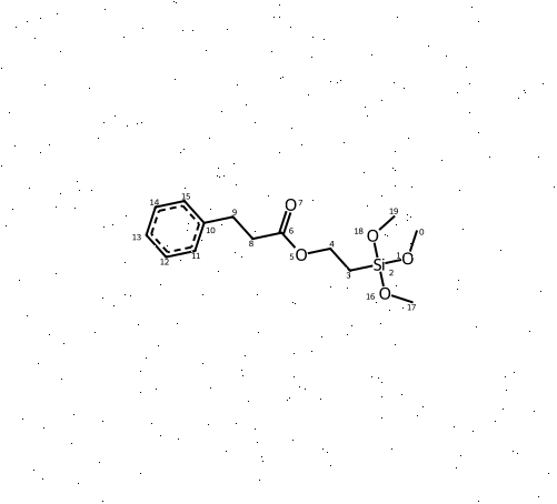 CO[Si](CCOC(=O)CCc1ccccc1)(OC)OC